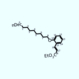 CCCCCCCCCCCCCCCCCCOc1ccccc1C=CC(=O)OCC